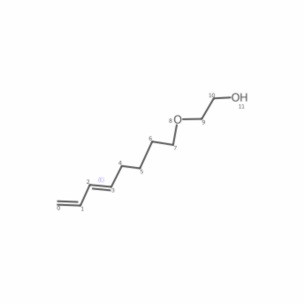 C=C/C=C/CCCCOCCO